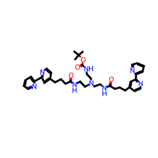 CC(C)(C)OC(=O)NCCN(CCNC(=O)CCCc1ccnc(-c2ccccn2)c1)CCNC(=O)CCCc1ccnc(-c2ccccn2)c1